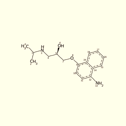 CC(C)NC[C@@H](O)COc1ccc(N)c2ccccc12